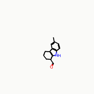 Cc1ccc2[nH]c3c(c2c1)CCCC3C=O